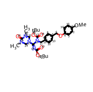 COc1ccc(OCc2ccc(CN(C(=O)OC(C)(C)C)/C(=N\C(=O)OC(C)(C)C)N3CN(C)C(=O)N(C)C3)cc2)cc1